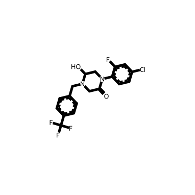 O=C1CN(Cc2ccc(C(F)(F)F)cc2)C(O)CN1c1ccc(Cl)cc1F